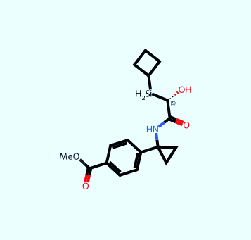 COC(=O)c1ccc(C2(NC(=O)[C@@H](O)[SiH2]C3CCC3)CC2)cc1